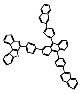 c1ccc2cc(-c3ccc(-c4c5ccccc5c(-c5ccc(-c6ccc7ccccc7c6)cc5)c5cc(-c6ccc(-c7cc8ccccc8c8c7oc7ccccc78)cc6)ccc45)cc3)ccc2c1